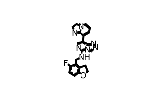 Fc1ccc2c(c1CNc1ncc(C3=CC=CN4CCN=C34)c3nncn13)CCO2